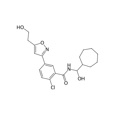 O=C(NC(O)C1CCCCCC1)c1cc(-c2cc(CCO)on2)ccc1Cl